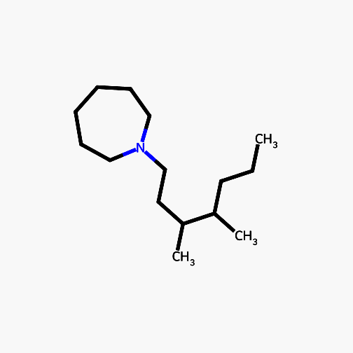 CCCC(C)C(C)CCN1CCCCCC1